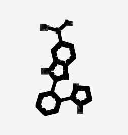 CC(=O)N(c1ccc2nc(-c3ccccc3-c3ncc[nH]3)[nH]c2c1)C(C)C